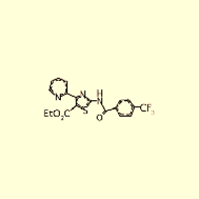 CCOC(=O)c1sc(NC(=O)c2ccc(C(F)(F)F)cc2)nc1-c1ccccn1